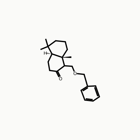 CC1(C)CCC[C@]2(C)C(COCc3ccccc3)C(=O)CC[C@@H]12